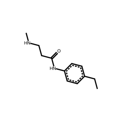 CCc1ccc(NC(=O)CCNC)cc1